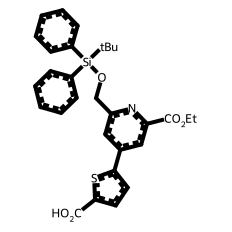 CCOC(=O)c1cc(-c2ccc(C(=O)O)s2)cc(CO[Si](c2ccccc2)(c2ccccc2)C(C)(C)C)n1